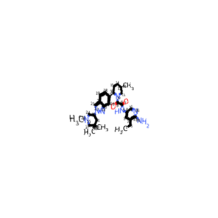 CCc1cc(NC(=O)C(=O)N2C[C@@H](C)CC[C@@H]2c2ccc3cn(C4CN(C)CC(C)(C)C4)nc3c2)cnc1N